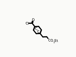 CCOC(=O)CCC12CCC(C(=O)Cl)(CC1)CC2